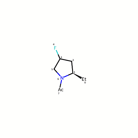 CC[C@@H]1CC(F)CN1C(C)=O